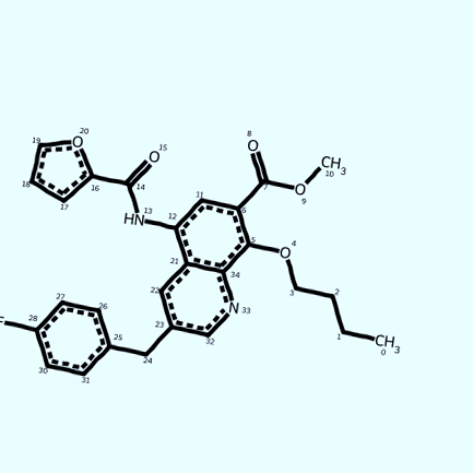 CCCCOc1c(C(=O)OC)cc(NC(=O)c2ccco2)c2cc(Cc3ccc(F)cc3)cnc12